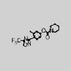 Cc1cc(OC(=O)N2CCCCC2)ccc1-c1noc(C(F)(F)F)n1